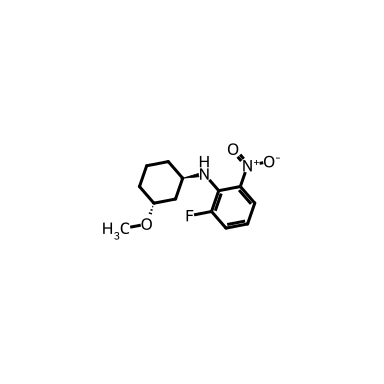 CO[C@@H]1CCC[C@@H](Nc2c(F)cccc2[N+](=O)[O-])C1